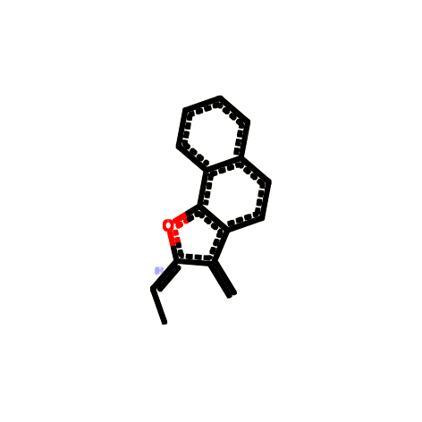 C=c1/c(=C\C)oc2c1ccc1ccccc12